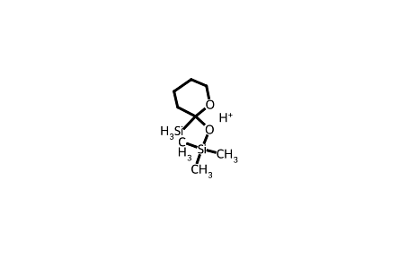 C[Si](C)(C)OC1([SiH3])CCCCO1.[H+]